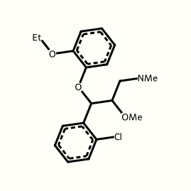 CCOc1ccccc1OC(c1ccccc1Cl)C(CNC)OC